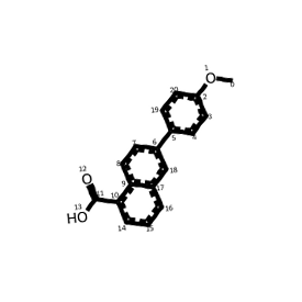 COc1ccc(-c2ccc3c(C(=O)O)cccc3c2)cc1